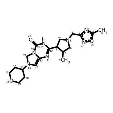 Cc1nc(CN2CC(C)C(C3=NC4=CN(C5CCOCC5)CN4C(=O)N3)C2)no1